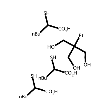 CCC(CO)(CO)CO.CCCCC(S)C(=O)O.CCCCC(S)C(=O)O.CCCCC(S)C(=O)O